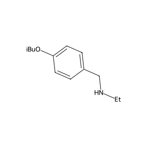 CCNCc1ccc(OCC(C)C)cc1